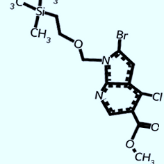 COC(=O)c1cnc2c(cc(Br)n2COCC[Si](C)(C)C)c1Cl